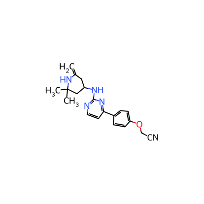 C=C1CC(Nc2nccc(-c3ccc(OCC#N)cc3)n2)CC(C)(C)N1